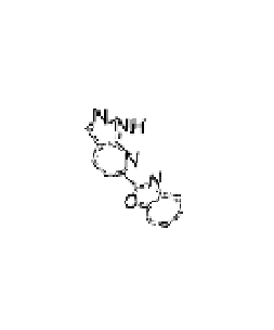 c1ccc2oc(-c3ccc4cn[nH]c4n3)nc2c1